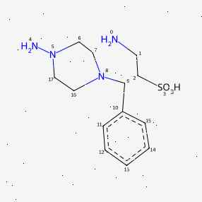 NCCS(=O)(=O)O.NN1CCN(Cc2ccccc2)CC1